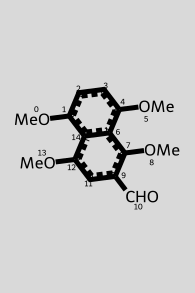 COc1ccc(OC)c2c(OC)c(C=O)cc(OC)c12